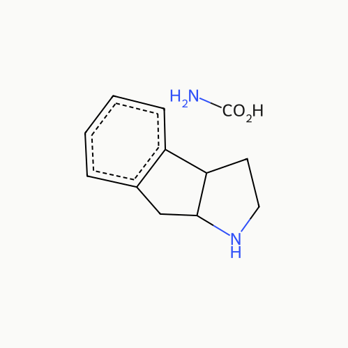 NC(=O)O.c1ccc2c(c1)CC1NCCC21